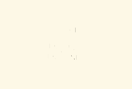 CC1(C)CNC2(CCCCC2CO)O1